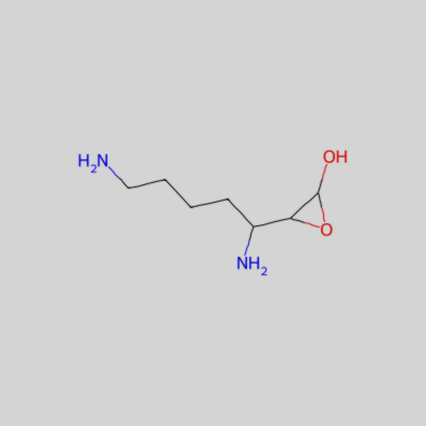 NCCCCC(N)C1OC1O